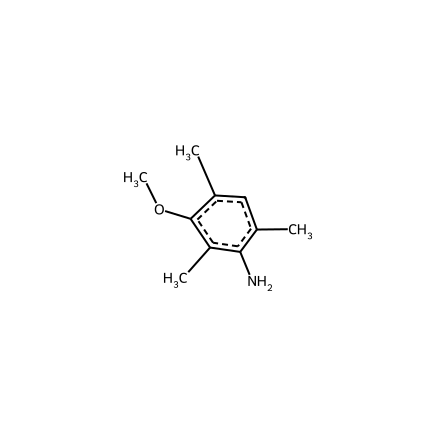 COc1c(C)cc(C)c(N)c1C